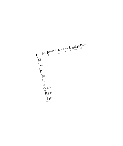 [Mo+6].[Mo+6].[Mo+6].[P-3].[P-3].[P-3].[P-3].[P-3].[P-3].[P-3].[P-3].[P-3].[P-3].[P-3].[Ta+5].[Ta+5].[Ta+5]